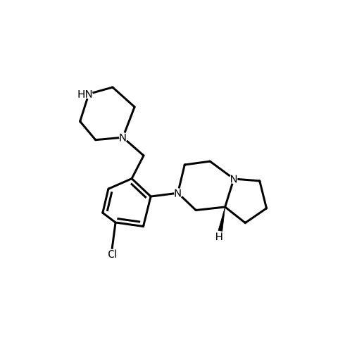 Clc1ccc(CN2CCNCC2)c(N2CCN3CCC[C@@H]3C2)c1